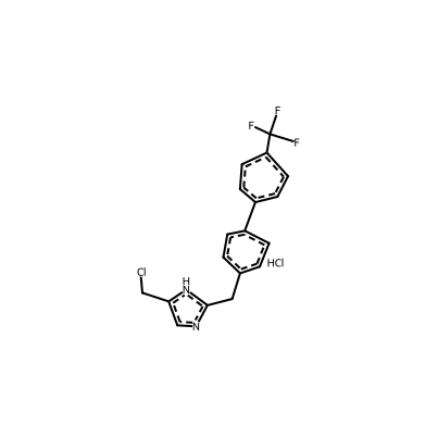 Cl.FC(F)(F)c1ccc(-c2ccc(Cc3ncc(CCl)[nH]3)cc2)cc1